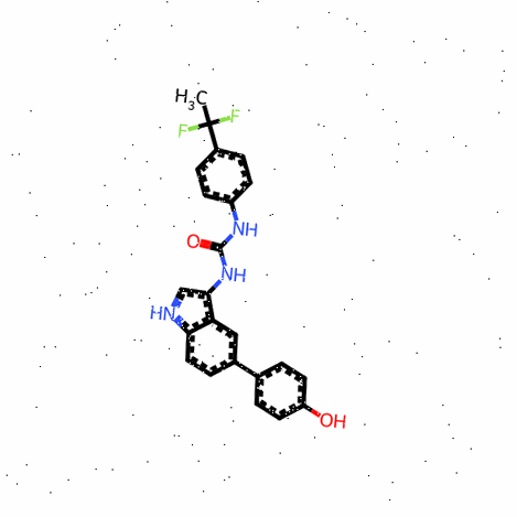 CC(F)(F)c1ccc(NC(=O)Nc2c[nH]c3ccc(-c4ccc(O)cc4)cc23)cc1